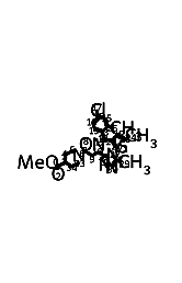 COC(=O)C1CCN(C(=O)CC2N=C(c3ccc(Cl)cc3)c3c(sc(C)c3C)-n3c(C)nnc32)CC1